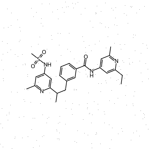 CCc1cc(NC(=O)c2cccc(CC(C)c3cc(NS(C)(=O)=O)cc(C)n3)c2)cc(C)n1